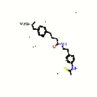 CN[C@@H](C)Cc1ccc(CCCC(=O)NCCc2ccc(NC(C)=S)cc2)cc1